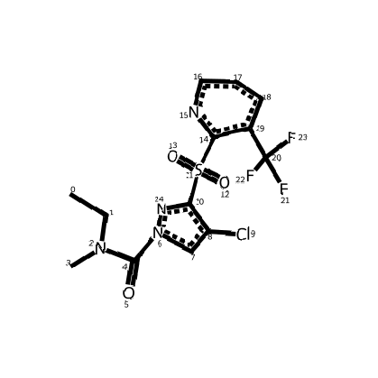 CCN(C)C(=O)n1cc(Cl)c(S(=O)(=O)c2ncccc2C(F)(F)F)n1